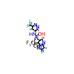 C[C@]1(C(F)(F)F)CN(C(O)Nc2cnnc(C(F)F)c2)c2cnc3cc(F)nn3c21